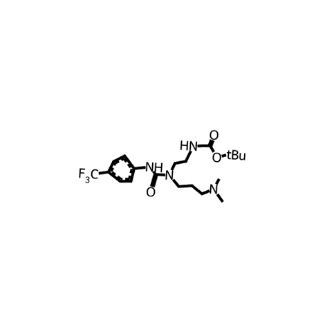 CN(C)CCCN(CCNC(=O)OC(C)(C)C)C(=O)Nc1ccc(C(F)(F)F)cc1